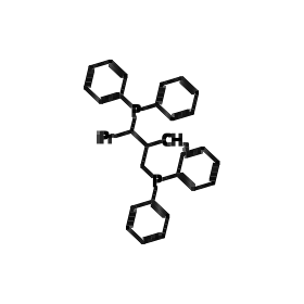 CC(C)C(C(C)CP(c1ccccc1)c1ccccc1)P(c1ccccc1)c1ccccc1